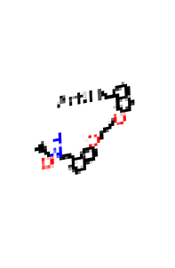 CC(=O)NCCc1cccc2ccc(OCCCCOc3ccc4cccc(CCNC(=O)C5CC5)c4c3)cc12